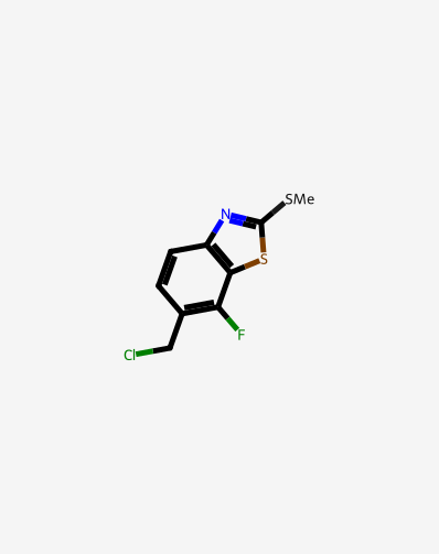 CSc1nc2ccc(CCl)c(F)c2s1